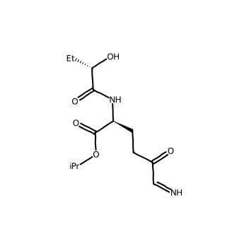 CC[C@H](O)C(=O)N[C@@H](CCC(=O)C=N)C(=O)OC(C)C